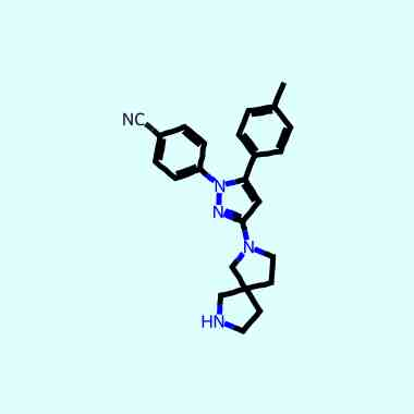 Cc1ccc(-c2cc(N3CCC4(CCNC4)C3)nn2-c2ccc(C#N)cc2)cc1